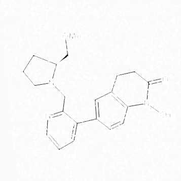 COC[C@@H]1CCCN1Cc1ncccc1-c1ccc2c(c1)CCC(=O)N2C